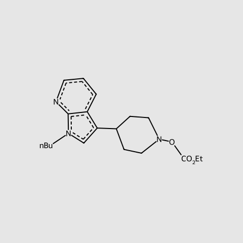 CCCCn1cc(C2CCN(OC(=O)OCC)CC2)c2cccnc21